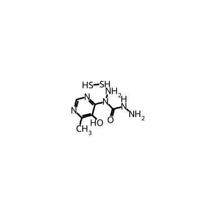 Cc1ncnc(N(N)C(=O)NN)c1O.SS